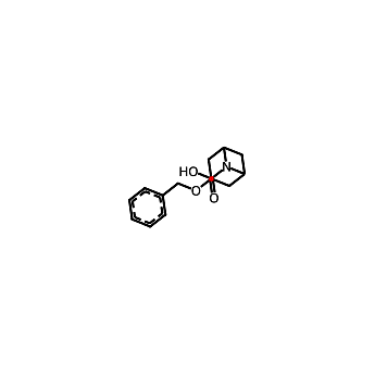 O=C(O)N1C2CC(OCc3ccccc3)CC1C2